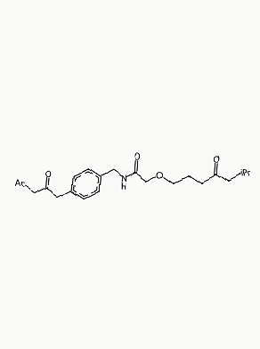 CC(=O)CC(=O)Cc1ccc(CNC(=O)COCCCC(=O)CC(C)C)cc1